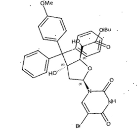 COc1ccc(C(c2ccccc2)(c2ccccc2)[C@]2(O)C[C@H](n3cc(Br)c(=O)[nH]c3=O)O[C@@H]2C(O)C(=O)OCC(C)C)cc1